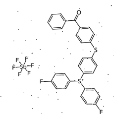 O=C(c1ccccc1)c1ccc(Sc2ccc([S+](c3ccc(F)cc3)c3ccc(F)cc3)cc2)cc1.[F][Sb-]([F])([F])([F])([F])[F]